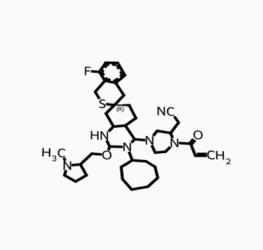 C=CC(=O)N1CCN(C2C3CC[C@@]4(Cc5cccc(F)c5CS4)CC3NC(OCC3CCCN3C)N2C2CCCCCCC2)CC1CC#N